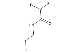 CCCNC(=O)[C](F)F